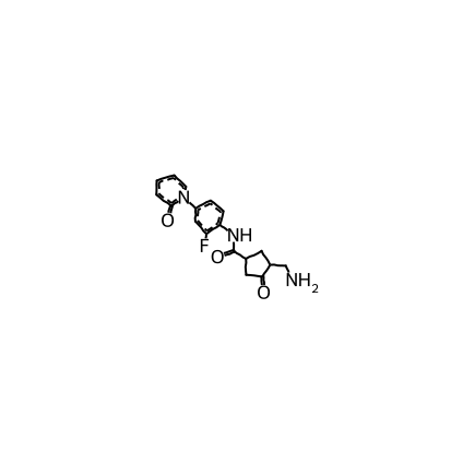 NCC1CC(C(=O)Nc2ccc(-n3ccccc3=O)cc2F)CC1=O